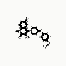 Cn1c(=O)c(C#N)c(N2CCC(Oc3ccc(OC(F)(F)F)cc3)CC2)c2cc(Br)ccc21